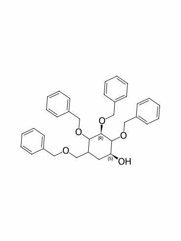 O[C@H]1CC(COCc2ccccc2)C(OCc2ccccc2)[C@@H](OCc2ccccc2)C1OCc1ccccc1